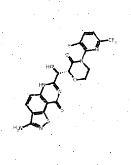 Nc1nsc2c1ccc1[nH]c(C(O)[C@H]3OCCN(c4nc(C(F)(F)F)ccc4F)C3=O)nc(=O)c12